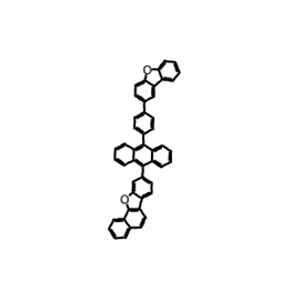 c1ccc2c(c1)ccc1c3ccc(-c4c5ccccc5c(-c5ccc(-c6ccc7oc8ccccc8c7c6)cc5)c5ccccc45)cc3oc21